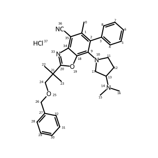 Cc1c(-c2ccccc2)c(N2CCC(N(C)C)C2)c2oc(C(C)(C)COCc3ccccc3)nc2c1C#N.Cl